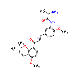 COc1ccc(/C=C/C(=O)c2ccc(OC)c3c2OC(C)(C)C=C3)cc1NC(=O)C(C)N